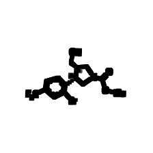 CC(C)(C)OC(=O)N1C[C@H](CO)[C@@H](c2ccc(C(F)(F)F)cc2Br)C1